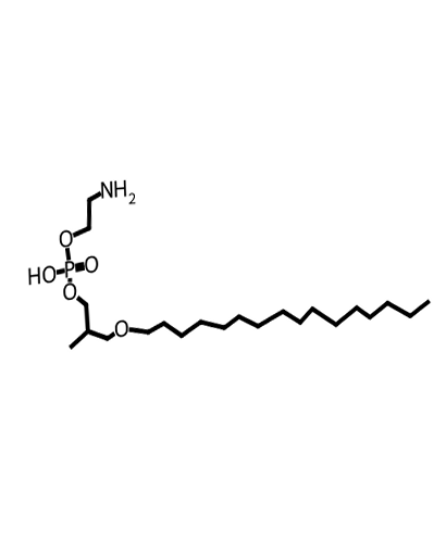 CCCCCCCCCCCCCCCCOCC(C)COP(=O)(O)OCCN